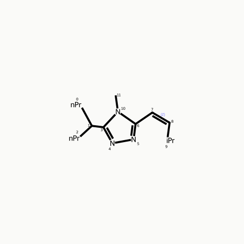 CCCC(CCC)c1nnc(/C=C\C(C)C)n1C